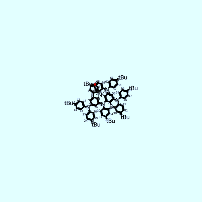 Cn1c2ccccc2c2cc(N(c3ccc(C(C)(C)C)cc3)c3ccc(C(C)(C)C)cc3)cc(N3c4ccc(C(C)(C)C)cc4B4c5cc(C(C)(C)C)ccc5N(c5ccc(C(C)(C)C)cc5)c5cc(N(c6ccc(C(C)(C)C)cc6)c6ccc(C(C)(C)C)cc6)cc3c54)c21